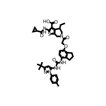 CCC1CN(C(=O)COc2ccc(NC(=O)Nc3cc(C(C)(C)C)nn3-c3ccc(C)cc3)c3c2CCC3)Cc2sc(NC(=O)C3CC3)c(C(=O)O)c21